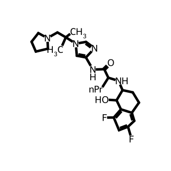 CCCC(NC1CCc2cc(F)cc(F)c2C1O)C(=O)Nc1cn(C(C)(C)CN2CCCC2)cn1